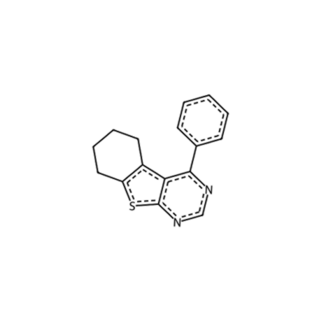 c1ccc(-c2ncnc3sc4c(c23)CCCC4)cc1